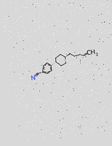 C=CCCC[C@H]1CC[C@H](c2ccc(C#N)cc2)CC1